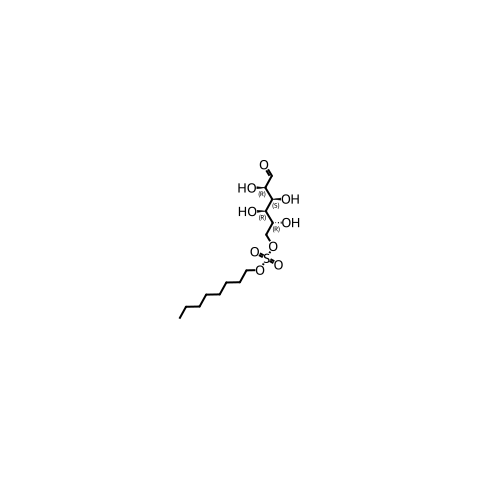 CCCCCCCCOS(=O)(=O)OC[C@@H](O)[C@@H](O)[C@H](O)[C@@H](O)C=O